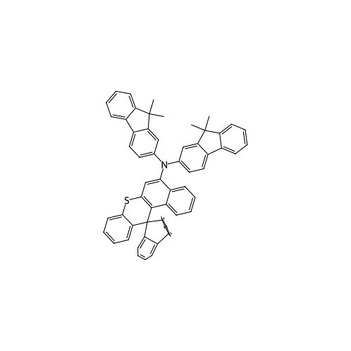 CC1(C)c2ccccc2-c2ccc(N(c3ccc4c(c3)C(C)(C)c3ccccc3-4)c3cc4c(c5ccccc35)C3(c5ccccc5S4)c4ccccc4-c4ccccc43)cc21